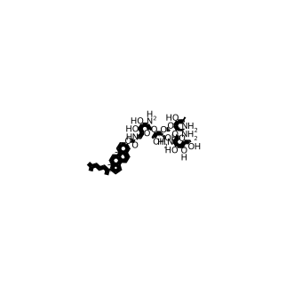 CC(C)CCCC(C)[C@H]1CCC2C3CC=C4CC(OC(=O)NCC5O[C@H](OC(CO)[C@@H](CO)OCOC(C(O)[C@@H](C)N)[C@@H](CN)O[C@H]6OC(CO)[C@@H](O)C(O)C6N)C(N)C(O)[C@@H]5O)CC[C@]4(C)C3CC[C@@]21C